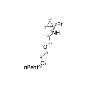 CCCCCOCCOCCNC1(CC)CC1